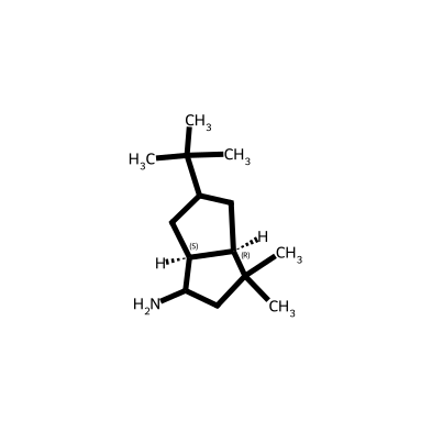 CC(C)(C)C1C[C@@H]2C(N)CC(C)(C)[C@@H]2C1